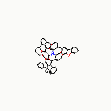 CC1(c2ccccc2)c2ccccc2-c2c(-c3ccccc3N(c3ccccc3-c3ccc4oc5ccccc5c4c3)c3ccccc3-c3cccc4cccc(C5CCCCC5)c34)cccc21